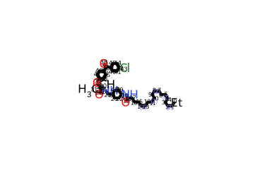 CC/C=C\C/C=C\C/C=C\C/C=C\C/C=C\CCCC(=O)NC1CCC(CNC(=O)C(C)(C)Oc2ccc(C(=O)c3ccc(Cl)cc3)cc2)CC1